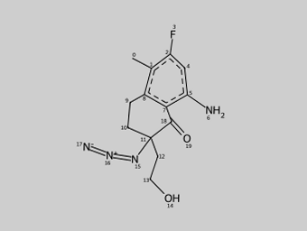 Cc1c(F)cc(N)c2c1CCC(CCO)(N=[N+]=[N-])C2=O